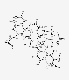 COC(=O)C1O[C@@H](O[C@H]2C(OC(C)=O)C(OC(C)=O)[C@@H](O[C@H]3C(OC)C(OC)[C@@H](O[C@@H]4C(COC(C)=O)O[C@H](OC)C(OC(C)=O)[C@H]4OC)O[C@H]3C(=O)OC)O[C@H]2COC(C)=O)C(OC)[C@@H](OC)[C@@H]1C